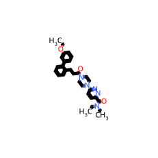 CCOc1cccc(-c2ccccc2CCC(=O)N2CCN(c3ccc(C(=O)N(CC)CC)nn3)CC2)c1